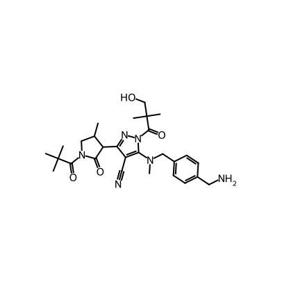 CC1CN(C(=O)C(C)(C)C)C(=O)C1c1nn(C(=O)C(C)(C)CO)c(N(C)Cc2ccc(CN)cc2)c1C#N